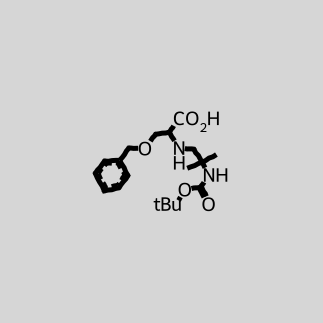 CC(C)(CNC(COCc1ccccc1)C(=O)O)NC(=O)OC(C)(C)C